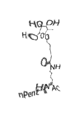 C=C(CCCCC)N[C@H](CCCCNC(=O)CCCCOC1OC(CO)C(O)C(O)C1C)C(C)=O